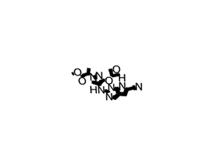 COC(=O)C(C)n1cc(Nc2ncc3cc(C#N)[nH]c3n2)c(OC2COC2)n1